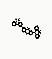 CC1(C)c2cc(-c3ccc4c(c3)-c3ccccc3S4(=O)=O)ccc2Sc2ccc(C3c4ccccc4C(C)(C)c4ccccc43)cc21